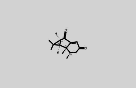 C[C@@H]1CC(=O)C=C2C(=O)[C@H]3[C@H](C3(C)C)[C@]21C